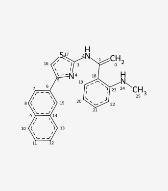 C=C(Nc1nc(-c2ccc3ccccc3c2)cs1)c1ccccc1NC